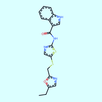 CCc1cnc(CSc2cnc(NC(=O)c3c[nH]c4ccccc34)s2)o1